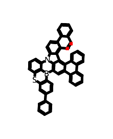 c1ccc(-c2ccc3c(c2)Sc2cccc4c2B3c2cc3c5ccccc5c5ccccc5c3c3c5c6c7ccccc7c7ccccc7c6ccc5n-4c23)cc1